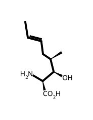 CC=CC[C@@H](C)[C@@H](O)[C@H](N)C(=O)O